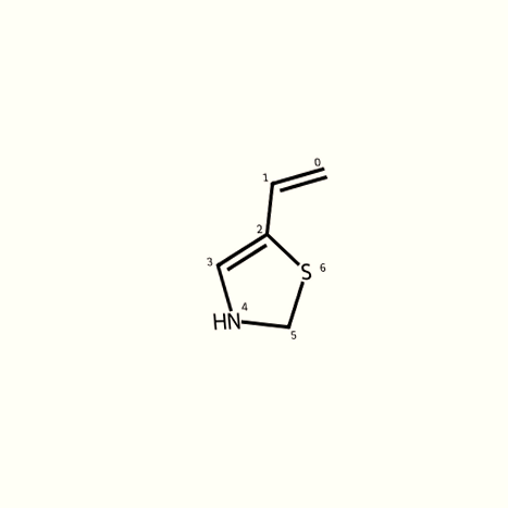 C=CC1=CNCS1